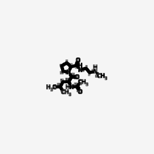 CNCCNC(=O)C1CCCN1C(=O)C(CC(C)C)NC(C)=O